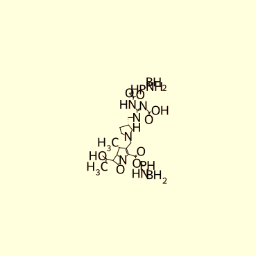 BNPOC(=O)N/C(=N/C(=O)O)NC[C@H]1CCN(CC2=C(C(=O)OPNB)N3C(=O)C([C@@H](C)O)C3[C@H]2C)C1